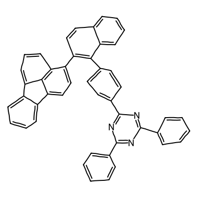 c1ccc(-c2nc(-c3ccccc3)nc(-c3ccc(-c4c(-c5ccc6c7c(cccc57)-c5ccccc5-6)ccc5ccccc45)cc3)n2)cc1